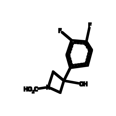 O=C(O)N1CC(O)(c2ccc(F)c(F)c2)C1